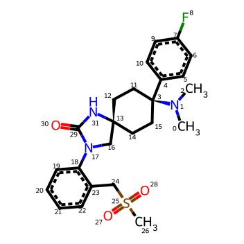 CN(C)[C@]1(c2ccc(F)cc2)CC[C@@]2(CC1)CN(c1ccccc1CS(C)(=O)=O)C(=O)N2